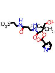 CC(C)(CO)[C@@H](OC(=O)c1cccnc1)C(=O)NCCC(=O)NCCS(=O)(=O)O